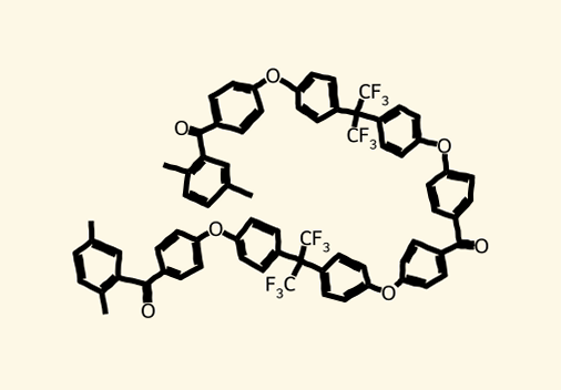 Cc1ccc(C)c(C(=O)c2ccc(Oc3ccc(C(c4ccc(Oc5ccc(C(=O)c6ccc(Oc7ccc(C(c8ccc(Oc9ccc(C(=O)c%10cc(C)ccc%10C)cc9)cc8)(C(F)(F)F)C(F)(F)F)cc7)cc6)cc5)cc4)(C(F)(F)F)C(F)(F)F)cc3)cc2)c1